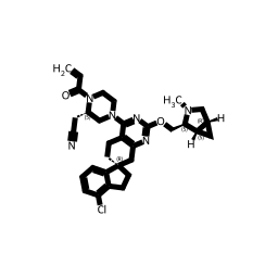 C=CC(=O)N1CCN(c2nc(OC[C@@H]3[C@H]4C[C@H]4CN3C)nc3c2CC[C@@]2(CCc4c(Cl)cccc42)C3)C[C@@H]1CC#N